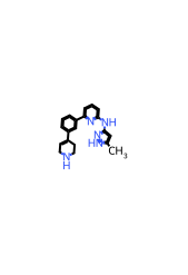 Cc1cc(Nc2cccc(-c3cccc(C4=CCNCC4)c3)n2)n[nH]1